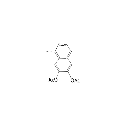 CC(=O)Oc1cc2cccc(C)c2cc1OC(C)=O